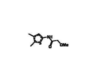 COCC(=O)Nc1cc(C)c(C)s1